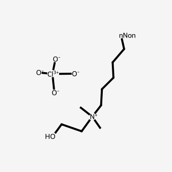 CCCCCCCCCCCCCC[N+](C)(C)CCO.[O-][Cl+3]([O-])([O-])[O-]